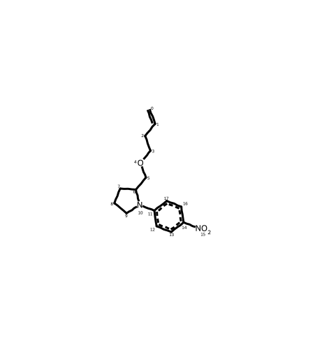 C=CCCOCC1CCCN1c1ccc([N+](=O)[O-])cc1